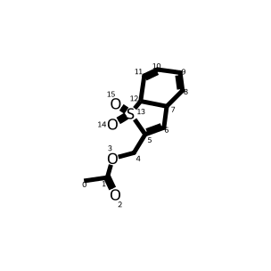 CC(=O)OCC1=CC2C=CC=CC2S1(=O)=O